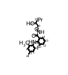 Cc1cc(I)ccc1Nc1c(F)cccc1C(=O)NOCC(O)C(C)C